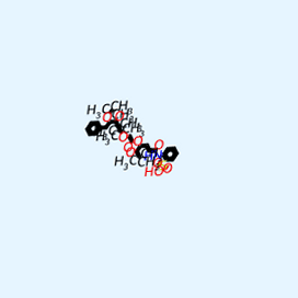 CC(C)(C)OC(Cc1ccccc1)C(=O)C(C)(C)C(C)(C)OCC(=O)OC(CCC(=O)Nc1ccccc1S(=O)(=O)O)C(=O)C(C)(C)C